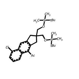 CC(=O)c1c2c(cc3c(Cl)cccc13)CC(CO[Si](C)(C)C(C)(C)C)(CO[Si](C)(C)C(C)(C)C)C2